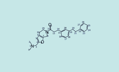 CN(C)Cc1cc2c(o1)CN(C(=O)CCc1cccc(CCc3ccccc3)c1)CC2